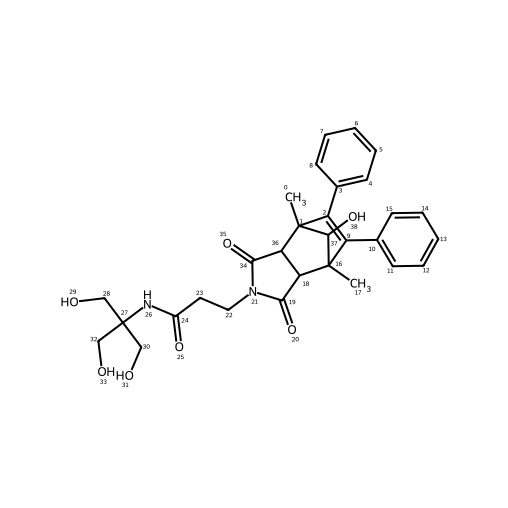 CC12C(c3ccccc3)=C(c3ccccc3)C(C)(C3C(=O)N(CCC(=O)NC(CO)(CO)CO)C(=O)C31)C2O